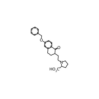 O=C1c2ccc(OCc3ccccc3)cc2CCC1CCN1CCC[C@H]1C(=O)O